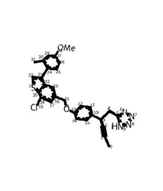 CC#CC(Cc1nnn[nH]1)c1ccc(OCc2cc(Cl)c3scc(-c4ccc(OC)cc4C)c3c2)cc1